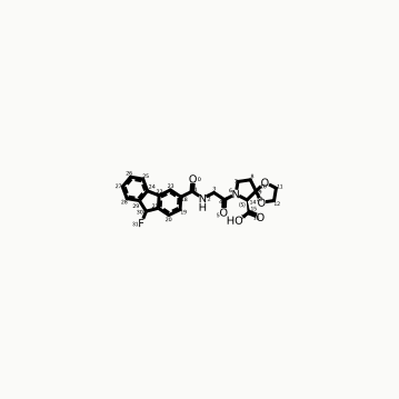 O=C(NCC(=O)N1CCC2(OCCO2)[C@H]1C(=O)O)c1ccc2c(c1)-c1ccccc1C2F